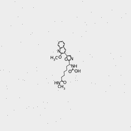 CNC(=O)CCCCCC(NC(=O)O)c1ncc(-c2cc3ccccc3nc2OC)o1